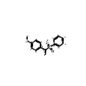 COc1ccc(C(C)S(=O)(=O)c2ccccc2)cc1